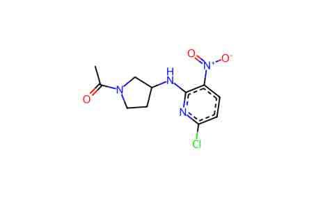 CC(=O)N1CCC(Nc2nc(Cl)ccc2[N+](=O)[O-])C1